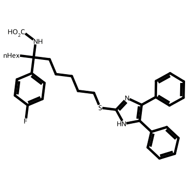 CCCCCCC(CCCCCSc1nc(-c2ccccc2)c(-c2ccccc2)[nH]1)(NC(=O)O)c1ccc(F)cc1